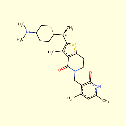 Cc1cc(C)c(CN2CCc3sc([C@H](C)[C@H]4CC[C@H](N(C)C)CC4)c(C)c3C2=O)c(=O)[nH]1